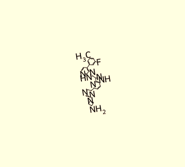 Cc1cc(F)cc(-c2ccnc3[nH]c(-c4n[nH]c5ccc(-c6cncc(N7CC(N)C7)n6)nc45)nc23)c1